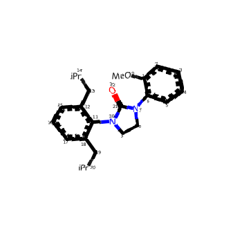 COc1ccccc1N1CCN(c2c(CC(C)C)cccc2CC(C)C)C1=O